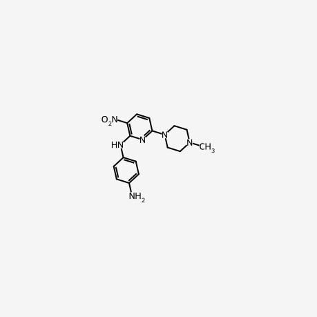 CN1CCN(c2ccc([N+](=O)[O-])c(Nc3ccc(N)cc3)n2)CC1